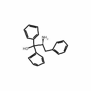 N[C@@H](Cc1ccccc1)C(O)(c1ccccc1)c1ccccc1